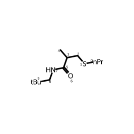 CCCSCC(C)C(=O)NCC(C)(C)C